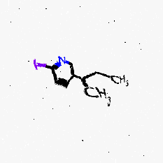 CCC(C)c1ccc(I)nc1